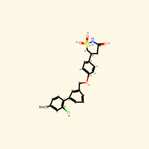 COc1ccc(-c2cccc(COc3ccc(C4CC(=O)NS(=O)(=O)C4)cc3)c2)c(Cl)c1